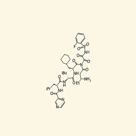 CCC(N)CC(=O)N(C(=O)C(=O)NS(=O)(=O)c1ccccc1F)C(=O)[C@H](CC1CCCCC1)NC(=O)[C@@H](NC(=O)[C@H](CC(C)C)NC(=O)c1cnccn1)[C@@H](C)CC